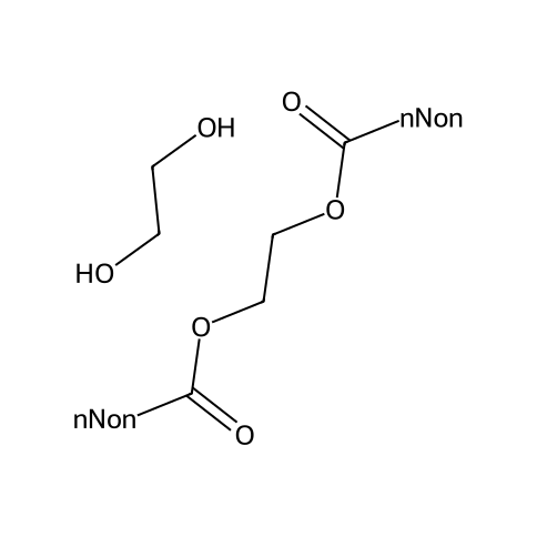 CCCCCCCCCC(=O)OCCOC(=O)CCCCCCCCC.OCCO